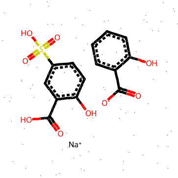 O=C(O)c1cc(S(=O)(=O)O)ccc1O.O=C([O-])c1ccccc1O.[Na+]